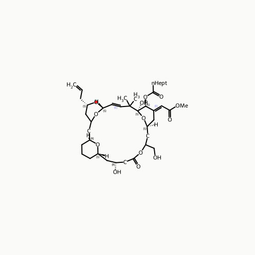 C=CC[C@H]1CC2C[C@H]3CCC[C@@H](C[C@@H](O)CC(=O)OC(CO)C[C@@H]4C/C(=C\C(=O)OC)[C@H](OC(=O)CCCCCCC)[C@@](O)(O4)C(C)(C)/C=C/[C@H](O2)O1)O3